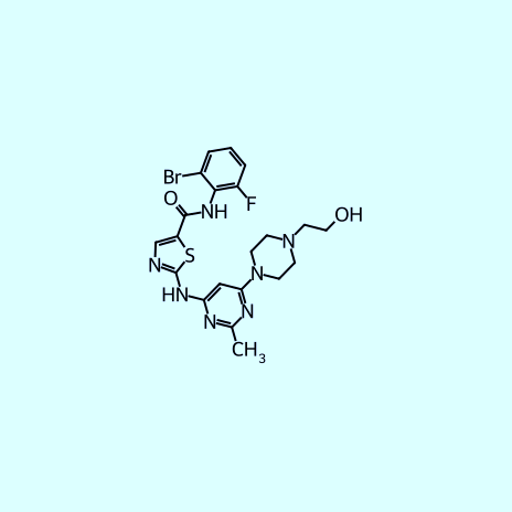 Cc1nc(Nc2ncc(C(=O)Nc3c(F)cccc3Br)s2)cc(N2CCN(CCO)CC2)n1